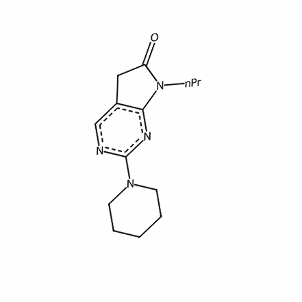 CCCN1C(=O)Cc2cnc(N3CCCCC3)nc21